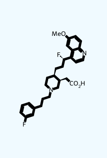 COc1ccc2nccc([C@@H](F)CC[C@@H]3CCN(CCCc4cccc(F)c4)C[C@@H]3CC(=O)O)c2c1